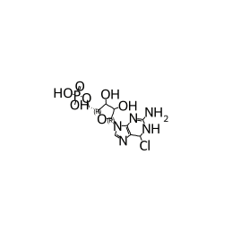 NC1=Nc2c(ncn2[C@@H]2O[C@H](COP(=O)(O)O)C(O)C2O)C(Cl)N1